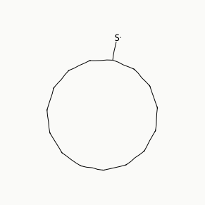 [S]C1CCCCCCCCCCCCCC1